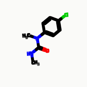 CNC(=O)N(C)c1ccc(Cl)cc1